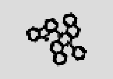 c1ccc(N2c3ccc4ccccc4c3N(c3cccc4c3sc3ccccc34)c3ccc4ccccc4c32)cc1